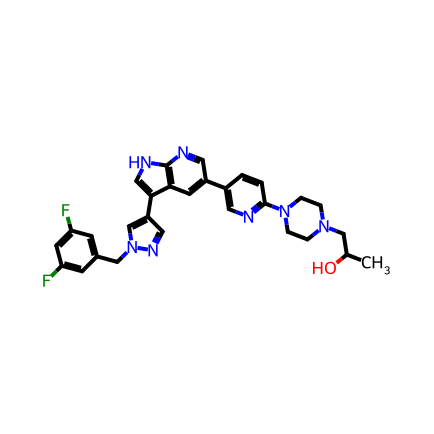 CC(O)CN1CCN(c2ccc(-c3cnc4[nH]cc(-c5cnn(Cc6cc(F)cc(F)c6)c5)c4c3)cn2)CC1